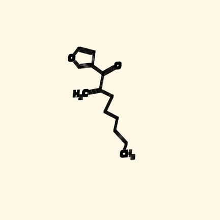 C=C(CCCCCC)C(=O)c1ccoc1